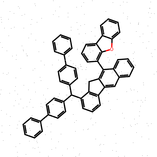 c1ccc(-c2ccc(C(c3ccc(-c4ccccc4)cc3)c3cccc4c3Cc3c-4cc4ccccc4c3-c3cccc4c3oc3ccccc34)cc2)cc1